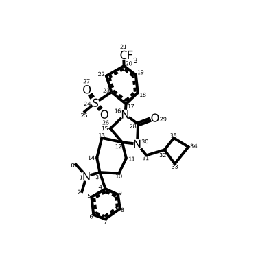 CN(C)C1(c2ccccc2)CCC2(CC1)CN(c1ccc(C(F)(F)F)cc1S(C)(=O)=O)C(=O)N2CC1CCC1